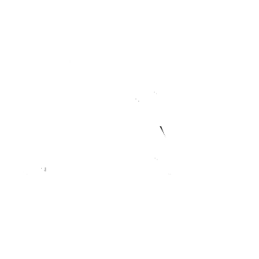 C[C@H]1O[C@H](c2cn(-c3ccc(Br)cc3)nc2-c2ccc(F)cc2)N(CCc2ccc(CN[SH](=O)=O)cc2)C1=O